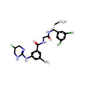 O=C(O)C[C@@H](NC(=O)CNC(=O)c1cc(NC2=NCC(F)CN2)cc([N+](=O)[O-])c1)c1cc(Br)cc(Br)c1